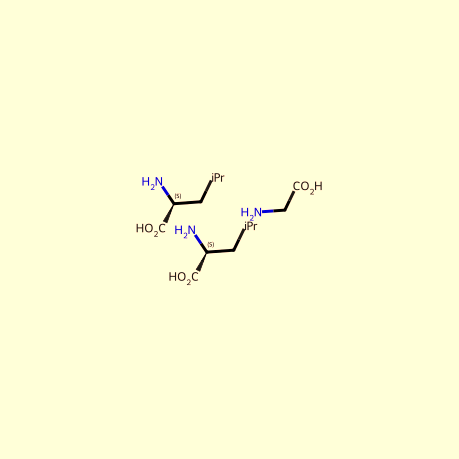 CC(C)C[C@H](N)C(=O)O.CC(C)C[C@H](N)C(=O)O.NCC(=O)O